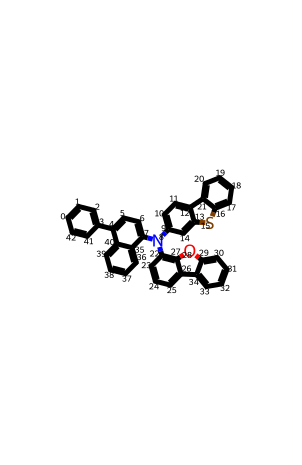 c1ccc(-c2ccc(N(c3ccc4c(c3)sc3ccccc34)c3cccc4c3oc3ccccc34)c3ccccc23)cc1